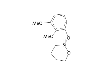 COc1cccc(O[SiH]2CCCCO2)c1OC